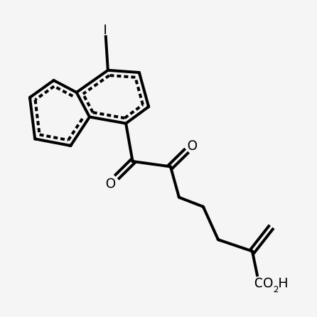 C=C(CCCC(=O)C(=O)c1ccc(I)c2ccccc12)C(=O)O